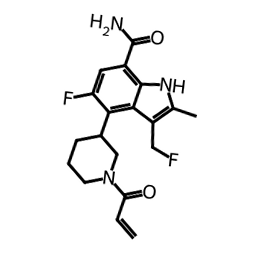 C=CC(=O)N1CCCC(c2c(F)cc(C(N)=O)c3[nH]c(C)c(CF)c23)C1